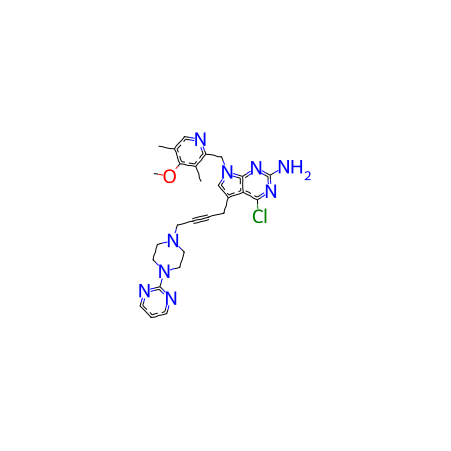 COc1c(C)cnc(Cn2cc(CC#CCN3CCN(c4ncccn4)CC3)c3c(Cl)nc(N)nc32)c1C